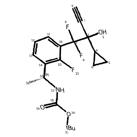 C#CC(O)(C1CC1)C(F)(F)c1cccc([C@@H](C)NC(=O)OC(C)(C)C)c1F